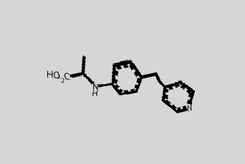 CC(Nc1ccc(Cc2ccncc2)cc1)C(=O)O